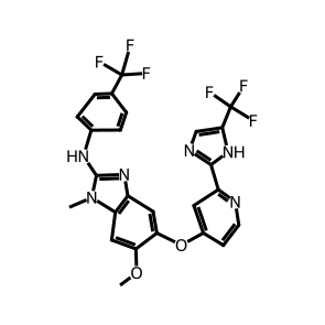 COc1cc2c(cc1Oc1ccnc(-c3ncc(C(F)(F)F)[nH]3)c1)nc(Nc1ccc(C(F)(F)F)cc1)n2C